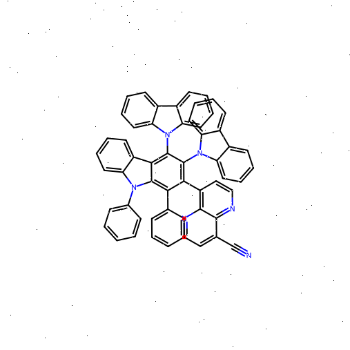 N#Cc1ccnc2c(-c3c(-n4c5ccccc5c5ccccc54)c(-n4c5ccccc5c5ccccc54)c4c5ccccc5n(-c5ccccc5)c4c3-c3ccccc3)ccnc12